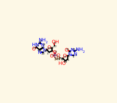 Nc1ncn([C@H]2C[C@@H](O)[C@@H](COP(=O)(S)OC3C[C@H](n4cnc5c(=O)[nH]c(N)nc54)O[C@@H]3CO)O2)c(=O)n1